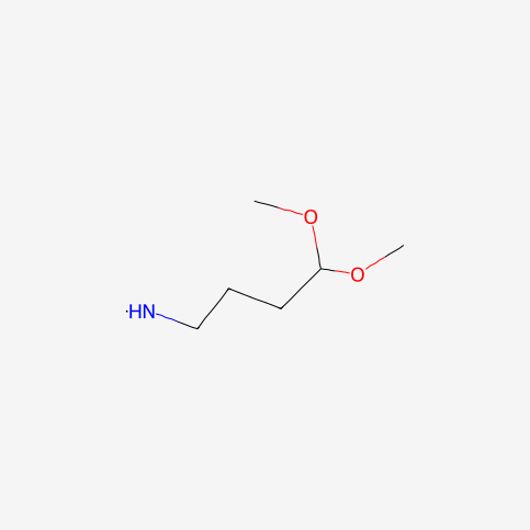 COC(CCC[NH])OC